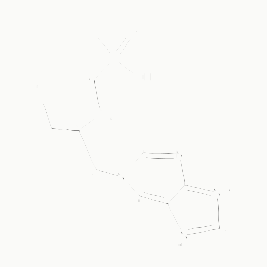 O=P(O)(O)COC(CO)Cn1cnc2ncnc-2c1